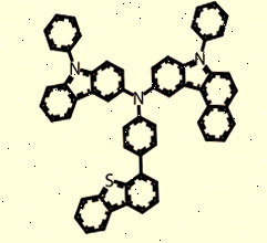 c1ccc(-n2c3ccccc3c3cc(N(c4ccc(-c5cccc6c5sc5ccccc56)cc4)c4ccc5c(c4)c4c6ccccc6ccc4n5-c4ccccc4)ccc32)cc1